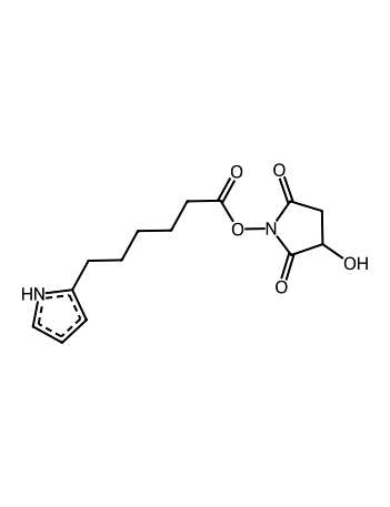 O=C(CCCCCc1ccc[nH]1)ON1C(=O)CC(O)C1=O